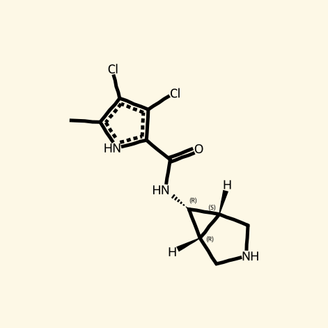 Cc1[nH]c(C(=O)N[C@@H]2[C@@H]3CNC[C@@H]32)c(Cl)c1Cl